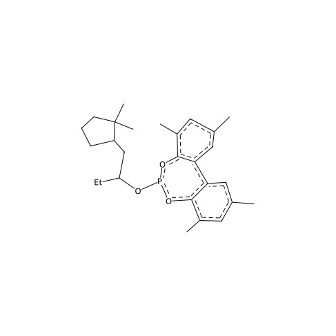 CCC(CC1CCCC1(C)C)Op1oc2c(C)cc(C)cc2c2cc(C)cc(C)c2o1